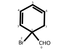 O=CC1(Br)C=CC=CC1